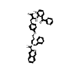 O=C(c1ccccc1)c1ccccc1NC(Cc1ccc(OCCCN(Cc2ccccc2)C(=O)c2cc3ccccc3cn2)cc1)C(=O)O